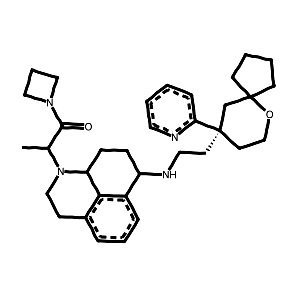 CC(C(=O)N1CCC1)N1CCc2cccc3c2C1CCC3NCC[C@@]1(c2ccccn2)CCOC2(CCCC2)C1